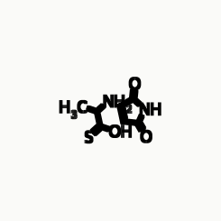 CC(N)C(O)=S.O=C1C=CC(=O)N1